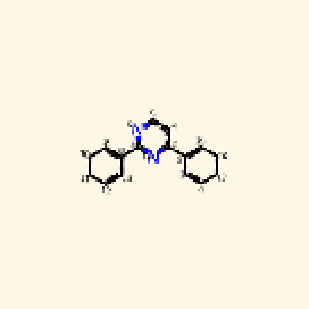 C1=CC(c2ccnc(C3=CCCC=C3)n2)=CCC1